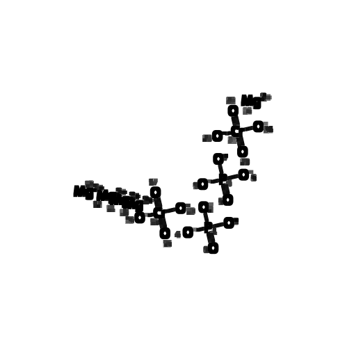 O=P([O-])([O-])[O-].O=P([O-])([O-])[O-].[Mg+2].[Mg+2].[Mg+2].[Mg+2].[Mg+2].[O]=[Cr](=[O])([O-])[O-].[O]=[Cr](=[O])([O-])[O-]